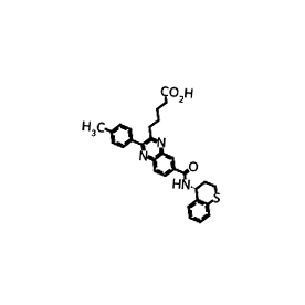 Cc1ccc(-c2nc3ccc(C(=O)N[C@@H]4CCSc5ccccc54)cc3nc2CCCCC(=O)O)cc1